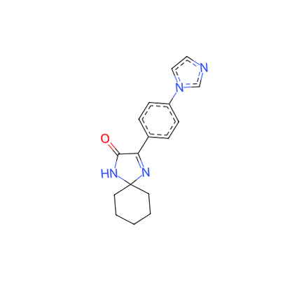 O=C1NC2(CCCCC2)N=C1c1ccc(-n2ccnc2)cc1